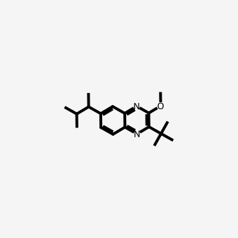 COc1nc2cc(C(C)C(C)C)ccc2nc1C(C)(C)C